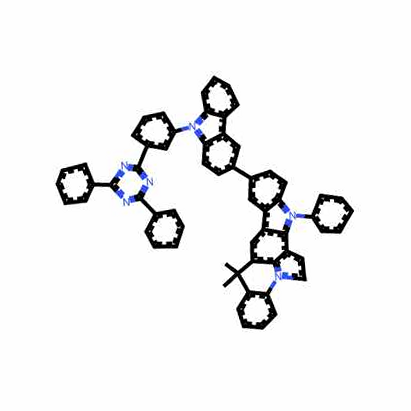 CC1(C)c2ccccc2-n2ccc3c2c1cc1c2cc(-c4ccc5c(c4)c4ccccc4n5-c4cccc(-c5nc(-c6ccccc6)nc(-c6ccccc6)n5)c4)ccc2n(-c2ccccc2)c13